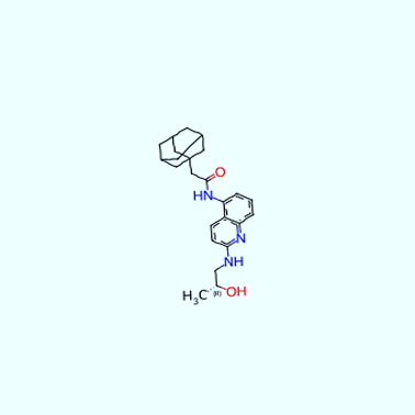 C[C@@H](O)CNc1ccc2c(NC(=O)CC34CC5CC(CC(C5)C3)C4)cccc2n1